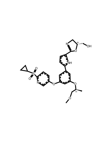 COC[C@H](C)Oc1cc(Oc2ccc(S(=O)(=O)C3CC3)nc2)cc(-c2ccc(C3=NC[C@H](CO)O3)[nH]2)c1